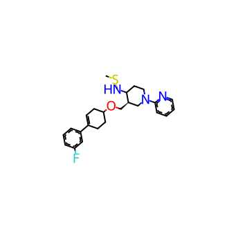 CSNC1CCN(c2ccccn2)C[C@H]1COC1CC=C(c2cccc(F)c2)CC1